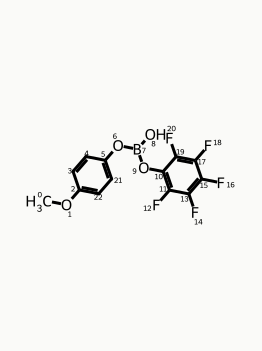 COc1ccc(OB(O)Oc2c(F)c(F)c(F)c(F)c2F)cc1